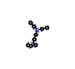 c1ccc(-c2ccc(-c3nc(-c4ccc(-c5ccccc5)cc4)nc(-c4ccc(-c5ccc(-c6nc7c8ccccc8ccc7c7ccccc67)cc5)cc4)n3)cc2)cc1